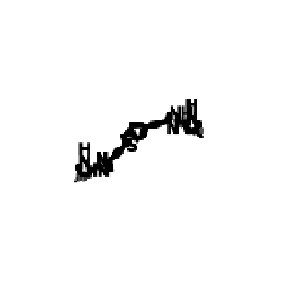 C[C@@H]1CN[C@H](c2nc(C#Cc3ccc4cc(C#Cc5c[nH]c([C@@H]6C[C@H](C)CN6)n5)sc4c3)c[nH]2)C1